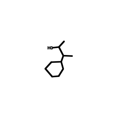 CC(O)C(C)C1CCCCC1